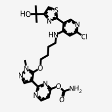 Cn1ncc(-c2nccc(OC(N)=O)n2)c1OCCCCNc1cc(Cl)ncc1-c1nc(C(C)(C)O)cs1